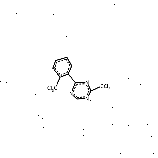 ClC(Cl)(Cl)c1ncnc(-c2ccccc2C(Cl)(Cl)Cl)n1